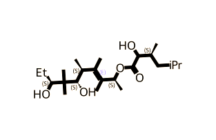 CC[C@H](O)C(C)(C)[C@@H](O)[C@@H](C)/C(C)=C(\C)[C@H](C)OC(=O)C(O)[C@@H](C)CC(C)C